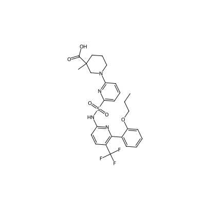 CCCOc1ccccc1-c1nc(NS(=O)(=O)c2cccc(N3CCCC(C)(C(=O)O)C3)n2)ccc1C(F)(F)F